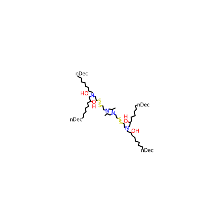 CCCCCCCCCCCCCCCCC(O)CN(CCSSCCN1CC(C)N(CCSSCCN(CC(O)CCCCCCCCCCCCCCCC)CC(O)CCCCCCCCCCCCCCCC)CC1C)CC(O)CCCCCCCCCCCCCCCC